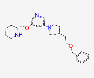 c1ccc(COCCC2CCN(c3cncc(OC[C@H]4CCCCN4)c3)CC2)cc1